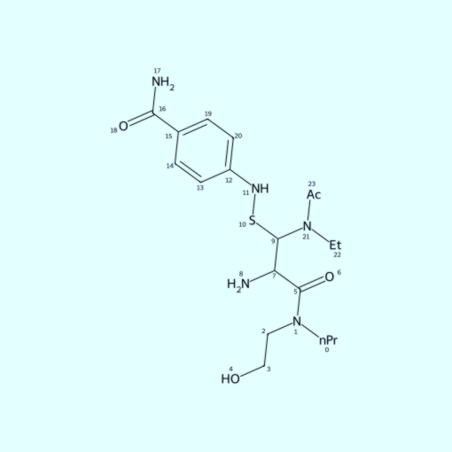 CCCN(CCO)C(=O)C(N)C(SNc1ccc(C(N)=O)cc1)N(CC)C(C)=O